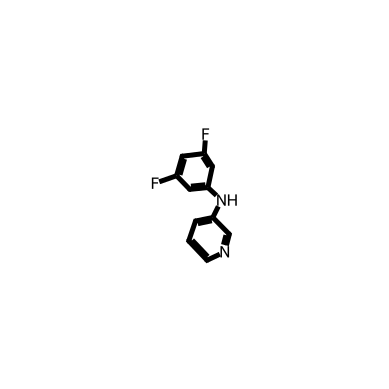 Fc1cc(F)cc(Nc2cccnc2)c1